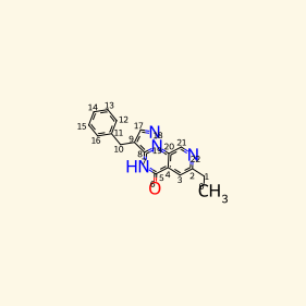 CCc1cc2c(=O)[nH]c3c(Cc4ccccc4)cnn3c2cn1